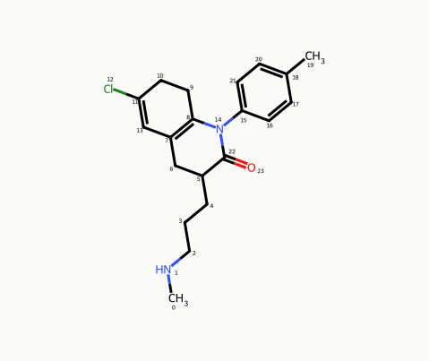 CNCCCC1CC2=C(CCC(Cl)=C2)N(c2ccc(C)cc2)C1=O